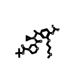 COCCCOc1cc(C(C)N(C(=O)[C@H]2CN(C(=O)OC(C)(C)C)CCO2)C2CC2)ccc1OC(F)F